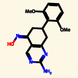 COc1cccc(OC)c1C1C/C(=N/O)c2cnc(N)nc2C1